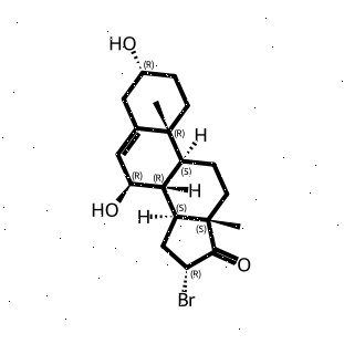 C[C@]12CC[C@@H](O)CC1=C[C@H](O)[C@@H]1[C@@H]2CC[C@]2(C)C(=O)[C@H](Br)C[C@@H]12